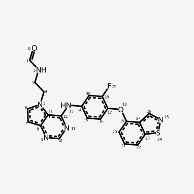 O=CNCCn1ccc2ncnc(Nc3ccc(Oc4cccc5sncc45)c(F)c3)c21